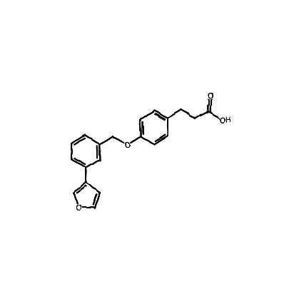 O=C(O)CCc1ccc(OCc2cccc(-c3ccoc3)c2)cc1